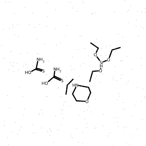 C1COCCN1.CCC.CCO[SiH](OCC)OCC.NC(O)=S.NC(O)=S